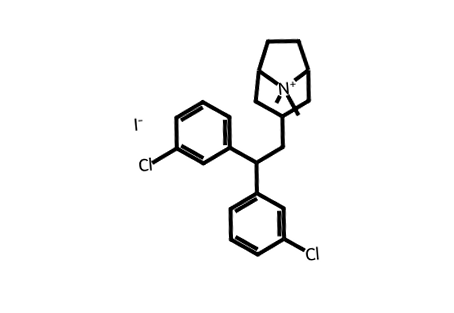 C[N+]1(C)C2CCC1CC(CC(c1cccc(Cl)c1)c1cccc(Cl)c1)C2.[I-]